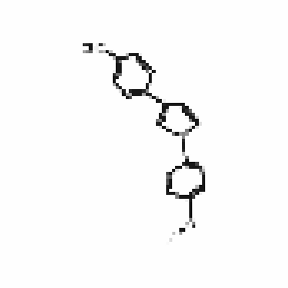 O=Cc1ccc(-c2ccn(-c3ccc(OC(F)(F)F)cc3)c2)cc1